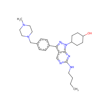 CCCCNc1ncc2c(-c3ccc(CN4CCN(C)CC4)cc3)nn(C3CCC(O)CC3)c2n1